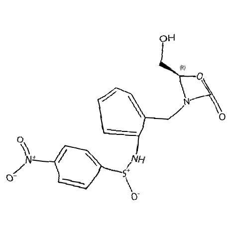 O=C1O[C@H](CO)N1Cc1ccccc1N[S+]([O-])c1ccc([N+](=O)[O-])cc1